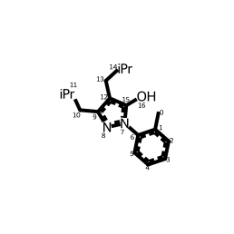 Cc1ccccc1-n1nc(CC(C)C)c(CC(C)C)c1O